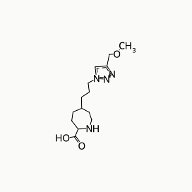 COCc1cn(CCCC2CCNC(C(=O)O)CC2)nn1